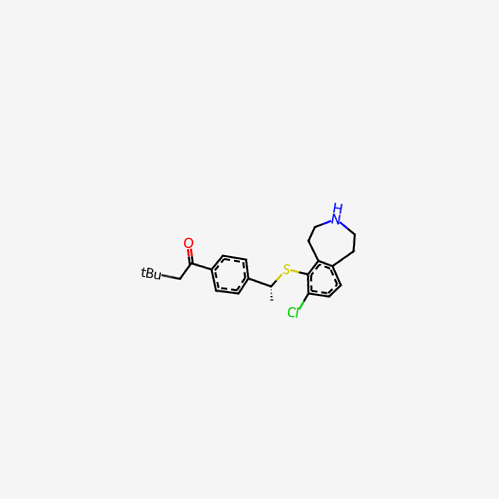 C[C@@H](Sc1c(Cl)ccc2c1CCNCC2)c1ccc(C(=O)CC(C)(C)C)cc1